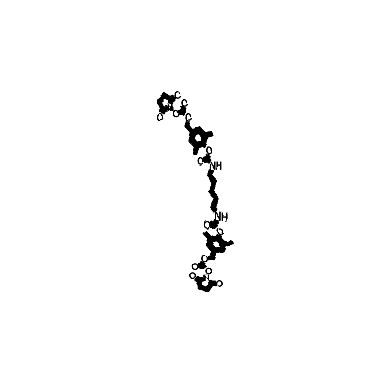 Cc1cc(COC(=O)ON2C(=O)CCC2=O)cc(C)c1OC(=O)NCCCCCNC(=O)Oc1c(C)cc(COC(=O)ON2C(=O)CCC2=O)cc1C